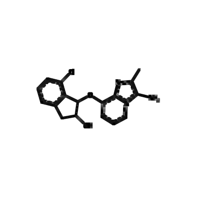 Cc1nc2c(OC3c4c(Cl)cccc4CC3O)cccn2c1N